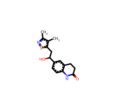 Cc1nsc(CC(O)c2ccc3c(c2)CCC(=O)N3)c1C